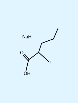 CCCC(I)C(=O)O.[NaH]